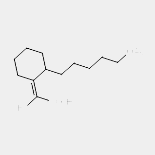 CC/C(C(=O)O)=C1\CCCCC1CCCCCOC(C)=O